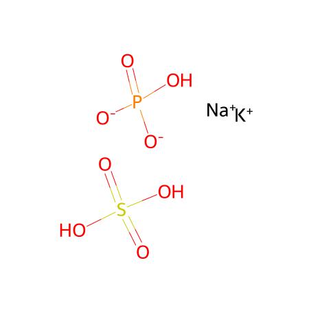 O=P([O-])([O-])O.O=S(=O)(O)O.[K+].[Na+]